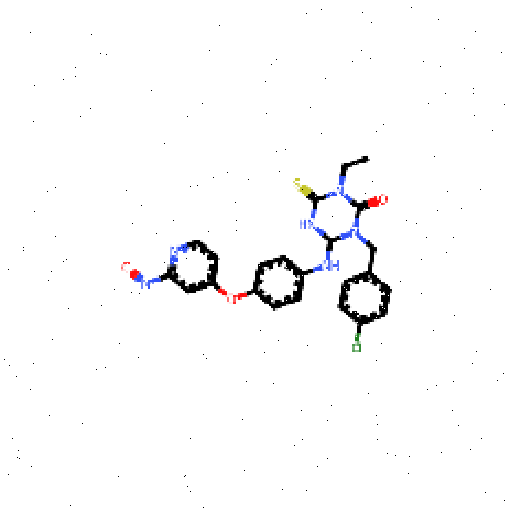 CCN1C(=O)N(Cc2ccc(Cl)cc2)C(Nc2ccc(Oc3ccnc(N=O)c3)cc2)NC1=S